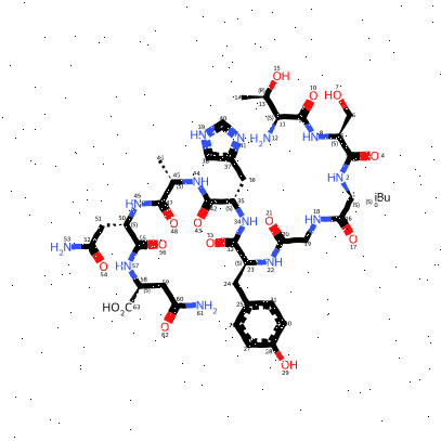 CC[C@H](C)[C@H](NC(=O)[C@H](CO)NC(=O)[C@@H](N)[C@@H](C)O)C(=O)NCC(=O)N[C@@H](Cc1ccc(O)cc1)C(=O)N[C@@H](Cc1c[nH]cn1)C(=O)N[C@@H](C)C(=O)N[C@@H](CC(N)=O)C(=O)N[C@@H](CC(N)=O)C(=O)O